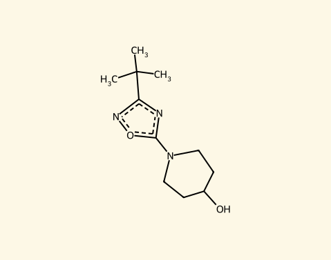 CC(C)(C)c1noc(N2CCC(O)CC2)n1